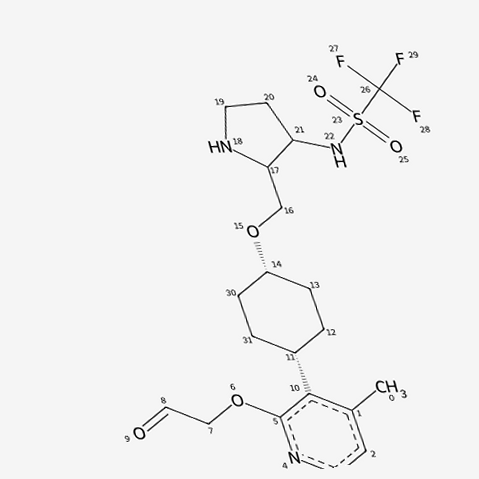 Cc1ccnc(OCC=O)c1[C@H]1CC[C@@H](OCC2NCCC2NS(=O)(=O)C(F)(F)F)CC1